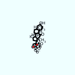 C[C@]12CC[C@@H](O)C[C@H]1CC[C@@H]1[C@@H]2C(=O)C[C@@]2(C)[C@H]1CC[C@]2(OS(=O)(=O)OS(=O)(=O)O[O-])C(=O)CO.[K+]